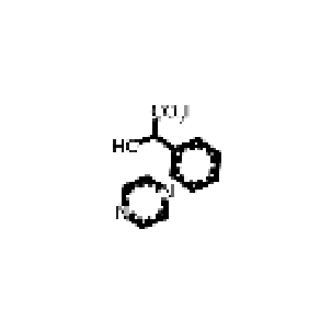 O=C(O)C(O)c1ccccc1.c1cnccn1